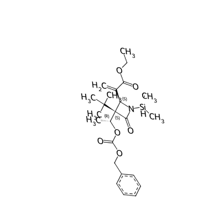 C=C(C(=O)OCC)[C@H]1N([SiH](C)C)C(=O)[C@@]1([C@@H](C)OC(=O)OCc1ccccc1)C(C)(C)C